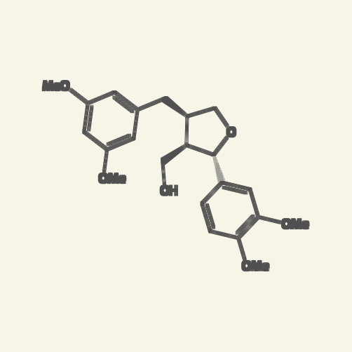 COc1cc(C[C@H]2CO[C@H](c3ccc(OC)c(OC)c3)[C@H]2CO)cc(OC)c1